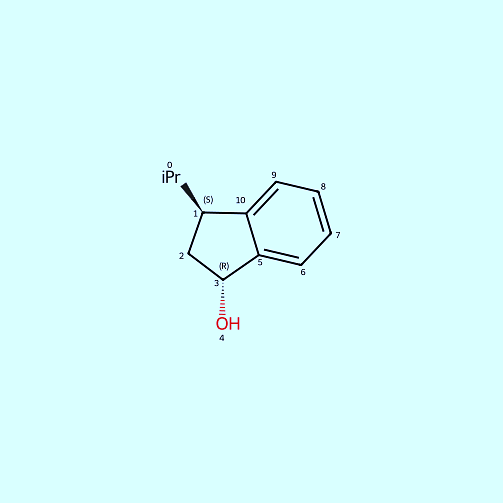 CC(C)[C@@H]1C[C@@H](O)c2ccccc21